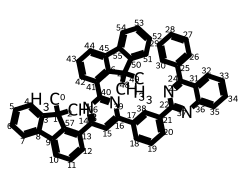 CC1(C)c2ccccc2-c2cccc(-c3cc(-c4cccc(-c5nc(-c6ccccc6)c6ccccc6n5)c4)nc(-c4cccc5c4C(C)(C)c4ccccc4-5)n3)c21